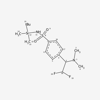 CN(C)C(c1ccc(S(=O)(=O)N[Si](C)(C)C(C)(C)C)cc1)C(F)F